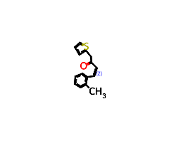 Cc1ccccc1/C=C\C(=O)Cc1cccs1